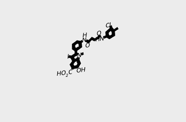 Cc1ccc(NC(=O)CCC(=O)Nc2cccc(-c3c(I)c4cc(C(=O)O)c(O)cc4n3C)c2)cc1Cl